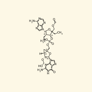 CC[C@H]1[C@H](n2cnc3c(N)ncnc32)O[C@](CC)(COP=O)[C@H]1OP(=O)(O)OC[C@]12C[C@H]1[C@@H](OCO)[C@H](n1cnc3c(=O)[nH]c(N)nc31)O2